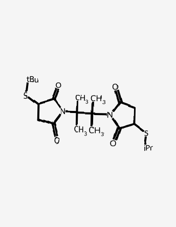 CC(C)SC1CC(=O)N(C(C)(C)C(C)(C)N2C(=O)CC(SC(C)(C)C)C2=O)C1=O